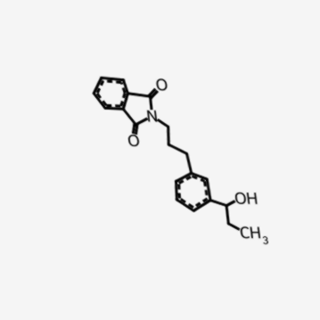 CCC(O)c1cccc(CCCN2C(=O)c3ccccc3C2=O)c1